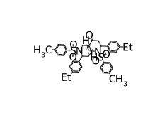 CCc1ccc(C2C[C@H]3[C@@H](CN2S(=O)(=O)c2ccc(C)cc2)C(=O)CC(c2ccc(CC)cc2)N3S(=O)(=O)c2ccc(C)cc2)cc1